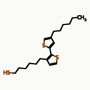 CCCCCCc1csc(-c2sccc2CCCCCCS)c1